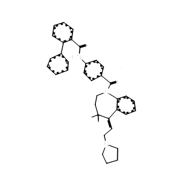 Cl.O=C(Nc1ccc(C(=O)N2CCC(F)(F)/C(=C\CN3CCCC3)c3ccccc32)cc1)c1ccccc1-c1ccccc1